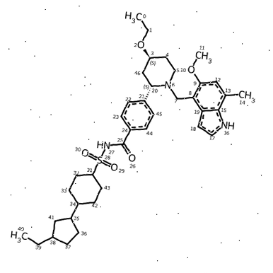 CCO[C@H]1CCN(Cc2c(OC)cc(C)c3[nH]ccc23)[C@H](c2ccc(C(=O)NS(=O)(=O)C3CCC(C4CCC(CC)C4)CC3)cc2)C1